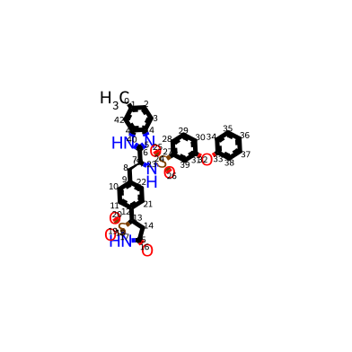 Cc1ccc2nc([C@H](Cc3ccc(C4CC(=O)NS4(=O)=O)cc3)NS(=O)(=O)c3cccc(Oc4ccccc4)c3)[nH]c2c1